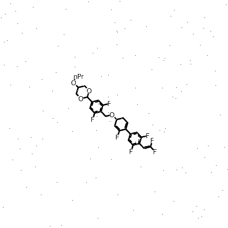 CCCOC1COC(c2cc(F)c(COC3C=C(F)C(c4cc(F)c(C=C(F)F)c(F)c4)=CC3)c(F)c2)OC1